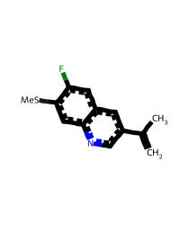 C=C(C)c1cnc2cc(SC)c(F)cc2c1